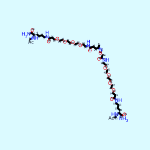 CC(=O)CN[C@@H](CCCCNC(=O)CCOCCOCCOCCOCCNC(=O)CC/C(C)=N\OCC(=O)NCCOCCOCCOCCOCCC(=O)NCCCC[C@H](NCC(C)=O)C(N)=O)C(N)=O